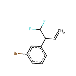 C=C[C](c1cccc(Br)c1)C(F)F